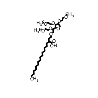 CCCCCCCCCCCCCCCCC(CCOCC(OCCOC)C1OCC(OCCOC)C1OCCOC)C(=O)O